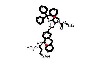 CSCC[C@H](NC(=O)c1ccc(NC[C@H]2[C@H](SC(c3ccccc3)(c3ccccc3)c3ccccc3)CCN2C(=O)OC(C)(C)C)cc1Cc1ccccc1)C(=O)O